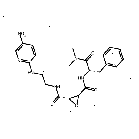 CN(C)C(=O)[C@H](Cc1ccccc1)NC(=O)[C@H]1O[C@@H]1C(=O)NCCNc1ccc([N+](=O)[O-])cn1